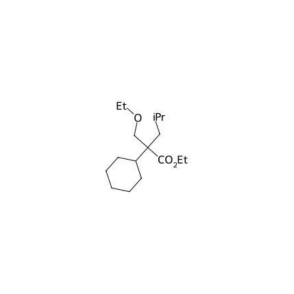 CCOCC(CC(C)C)(C(=O)OCC)C1CCCCC1